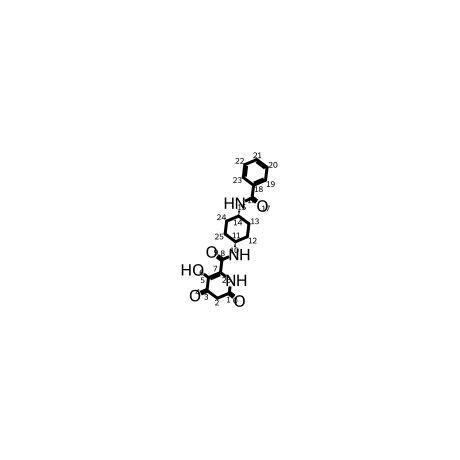 O=C1CC(=O)C(O)=C(C(=O)N[C@H]2CC[C@@H](NC(=O)c3ccccc3)CC2)N1